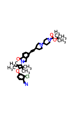 CC(C)(C)OC(=O)N1CCC(N2CCC(C#Cc3ccc4c(c3)CN([C@H]3C(C)(C)[C@H](Oc5ccc(C#N)c(Cl)c5)C3(C)C)C4=O)CC2)CC1